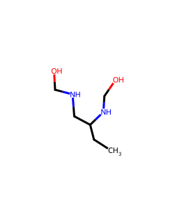 CCC(CNCO)NCO